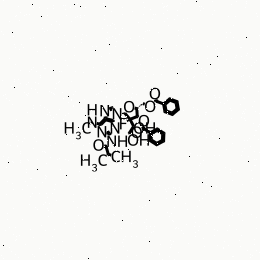 CNc1nc(NC(=O)C(C)C)nc2c1ncn2[C@@H]1O[C@H](COC(=O)c2ccccc2)C(OC(=O)c2ccccc2)[C@]1(F)C(O)CO